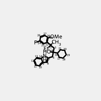 CCC(C)(CC(O)(Cc1cc2ccccc2[nH]1)C1CCCCC1)c1cc(F)ccc1OC